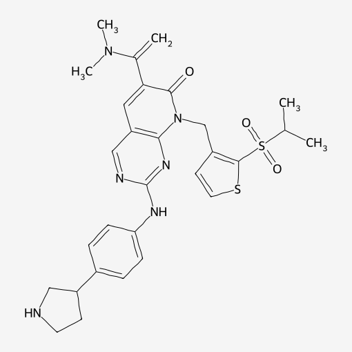 C=C(c1cc2cnc(Nc3ccc(C4CCNC4)cc3)nc2n(Cc2ccsc2S(=O)(=O)C(C)C)c1=O)N(C)C